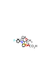 CC1(C)COC(C)(C2=[SH]C=C(C(=O)O)C2)c2c1n(-c1ccc(F)cc1)c1cccc(O)c21